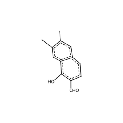 Cc1cc2ccc(C=O)c(O)c2cc1C